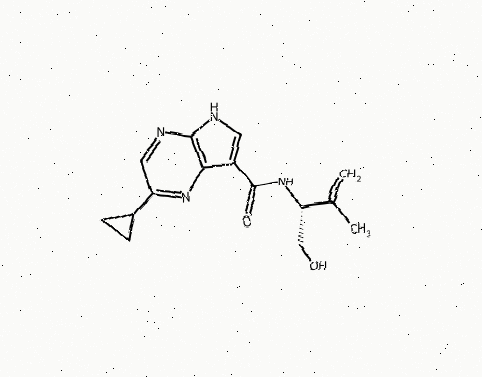 C=C(C)[C@H](CO)NC(=O)c1c[nH]c2ncc(C3CC3)nc12